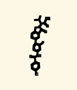 CC(C)C(C(=O)O)N1Cc2ccc(-c3ccc(NC(=O)c4ccc(Cl)cc4)cc3F)cc2C1=O